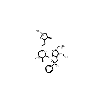 C=C1C[C@H](CCCC)OC1CC[C@H]1C[C@@H](C)C(=C)C(C[C@@H]2O[C@H](C[C@H](C)CC)[C@H](CO)[C@H]2CS(=O)(=O)c2ccccc2)O1